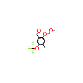 COCOc1cc(C)c(OC(F)(F)F)cc1C=O